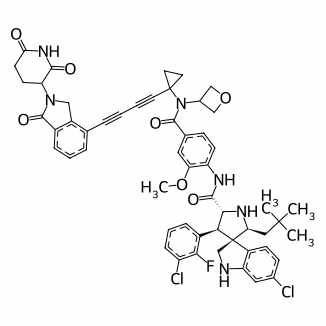 COc1cc(C(=O)N(C2COC2)C2(C#CC#Cc3cccc4c3CN(C3CCC(=O)NC3=O)C4=O)CC2)ccc1NC(=O)[C@@H]1N[C@@H](CC(C)(C)C)[C@@]2(CNc3cc(Cl)ccc32)[C@H]1c1cccc(Cl)c1F